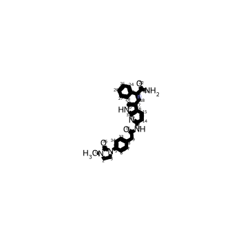 CN1CCN(c2ccc(CC(=O)Nc3ccc4c(/C=C(/C(N)=O)c5ccccc5)c[nH]c4n3)cc2)C1=O